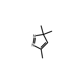 CC1=CC(C)(C)N=N1